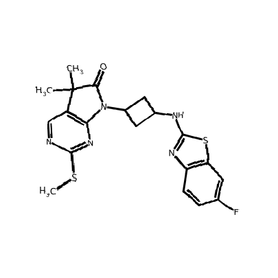 CSc1ncc2c(n1)N(C1CC(Nc3nc4ccc(F)cc4s3)C1)C(=O)C2(C)C